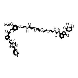 COc1cc(OCCNC(=O)CCOCCOCCOCCNC(=O)Nc2cccc3c2CN(C2CCC(=O)NC2=O)C3=O)ccc1CNC(=O)c1cccc(NCc2nnc(-c3ccncn3)n2C)c1